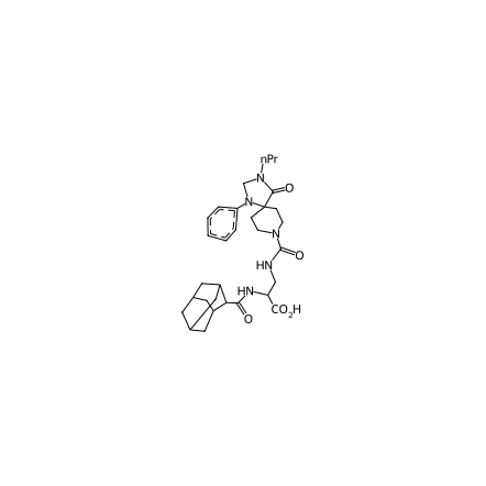 CCCN1CN(c2ccccc2)C2(CCN(C(=O)NCC(NC(=O)C3C4CC5CC(C4)CC3C5)C(=O)O)CC2)C1=O